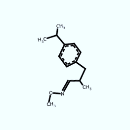 CO/N=C/C(C)Cc1ccc(C(C)C)cc1